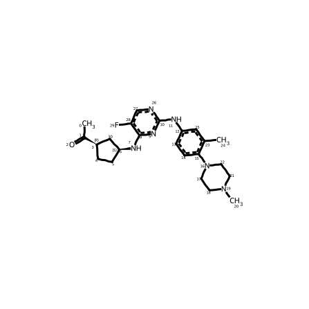 CC(=O)[C@@H]1CC[C@H](Nc2nc(Nc3ccc(N4CCN(C)CC4)c(C)c3)ncc2F)C1